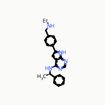 CCNCc1ccc(-c2cc3c(N[C@H](C)c4ccccc4)ncnc3[nH]2)cc1